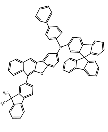 CC1(C)c2ccccc2-c2ccc(-c3c4ccccc4cc4c3oc3ccc(N(c5ccc(-c6ccccc6)cc5)c5ccc6c(c5)C5(c7ccccc7-c7ccccc75)c5ccccc5-6)cc34)cc21